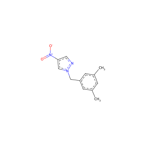 Cc1cc(C)cc(Cn2cc([N+](=O)[O-])cn2)c1